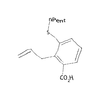 C=CCc1c(SCCCCC)cccc1C(=O)O